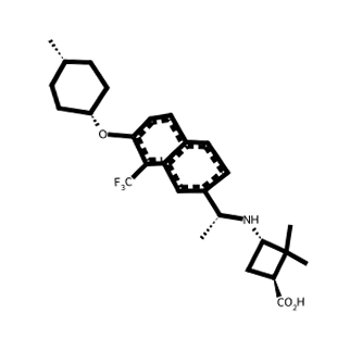 C[C@@H](N[C@H]1C[C@H](C(=O)O)C1(C)C)c1ccc2ccc(O[C@H]3CC[C@@H](C)CC3)c(C(F)(F)F)c2c1